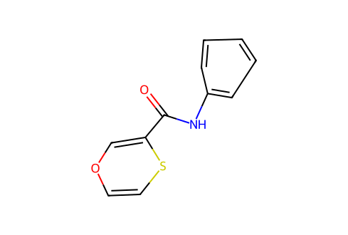 O=C(Nc1ccccc1)C1=COC=CS1